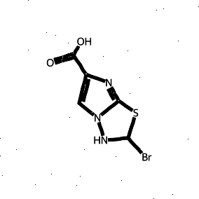 O=C(O)c1cn2c(n1)SC(Br)N2